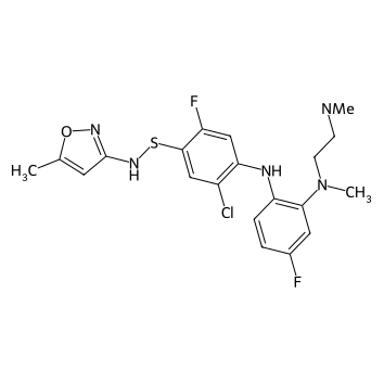 CNCCN(C)c1cc(F)ccc1Nc1cc(F)c(SNc2cc(C)on2)cc1Cl